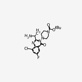 C[C@H](N)c1nc2c(Cl)cc(F)cc2c(=O)n1N1CCN(C(=O)OC(C)(C)C)CC1